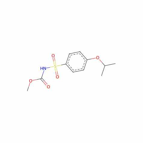 COC(=O)NS(=O)(=O)c1ccc(OC(C)C)cc1